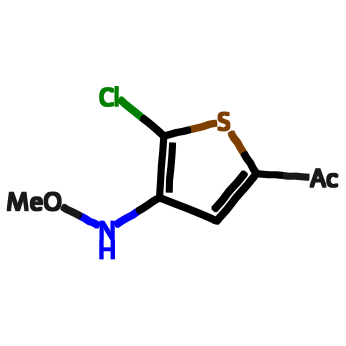 CONc1cc(C(C)=O)sc1Cl